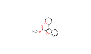 COC(=O)c1oc2ccccc2c1C1CCCCO1